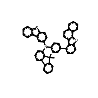 CC1(C)c2ccccc2-c2cccc(N(c3ccc(-c4cccc5oc6c7ccccc7ccc6c45)cc3)c3ccc4sc5ccccc5c4c3)c21